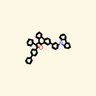 c1ccc(-c2ccc(-c3oc4c5cc(-c6cccc(-n7c8ccccc8c8ccccc87)c6)ccc5c5ccccc5c4c3-c3ccccc3)cc2)cc1